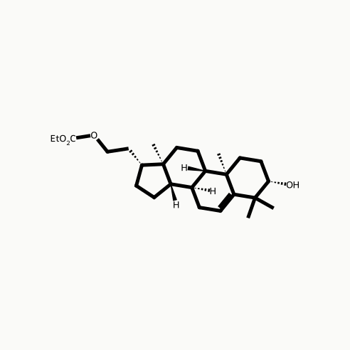 CCOC(=O)OCC[C@H]1CC[C@H]2[C@@H]3CC=C4C(C)(C)[C@@H](O)CC[C@]4(C)[C@H]3CC[C@]12C